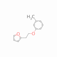 Cc1cccc(OCCc2ccco2)c1